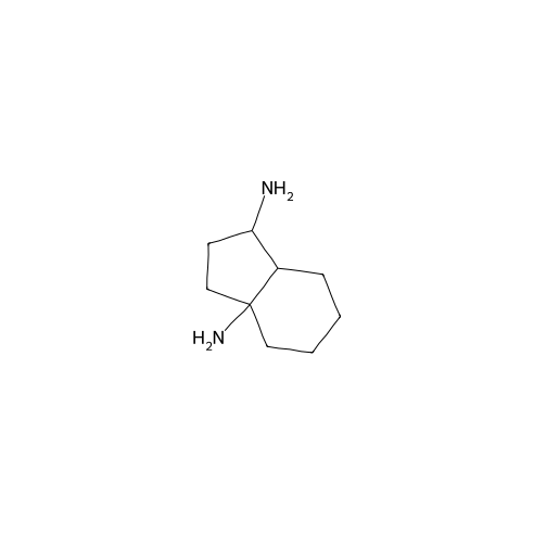 NC1CCC2(N)CCCCC12